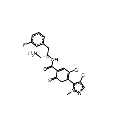 Cn1ncc(Cl)c1C1=C(Cl)C=C(C(=O)N[C@H](CN)Cc2cccc(F)c2)C(=S)C1